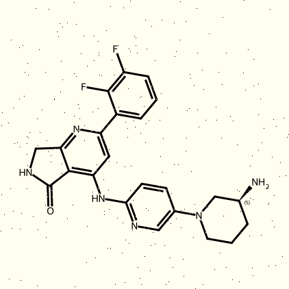 N[C@H]1CCCN(c2ccc(Nc3cc(-c4cccc(F)c4F)nc4c3C(=O)NC4)nc2)C1